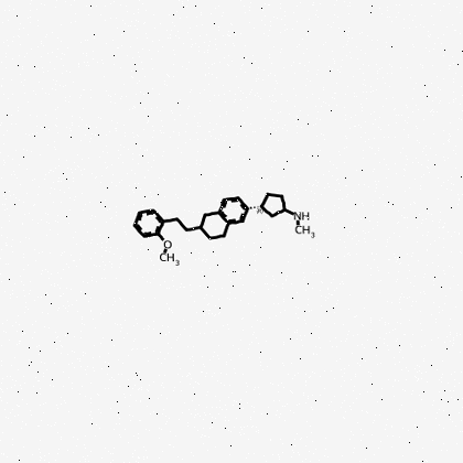 CNC1CC[C@@H](c2ccc3c(c2)CCC(CCc2ccccc2OC)C3)C1